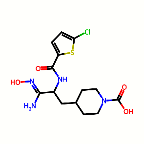 N/C(=N\O)C(CC1CCN(C(=O)O)CC1)NC(=O)c1ccc(Cl)s1